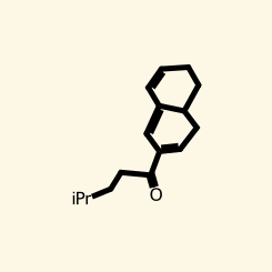 CC(C)CCC(=O)C1=CCC2CCC=CC2=C1